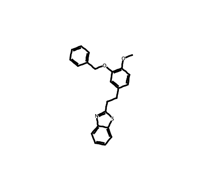 COc1ccc(CCc2nc3ccccc3s2)cc1OCc1ccccc1